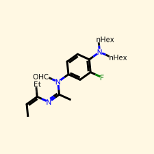 C/C=C(CC)\N=C(\C)N(C=O)c1ccc(N(CCCCCC)CCCCCC)c(F)c1